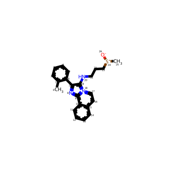 Cc1ccccc1-c1nc2c3ccccc3ccn2c1NCCC[S+](C)[O-]